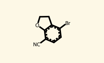 N#Cc1ccc(Br)c2c1OCC2